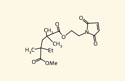 CCC(C)(CC(C)(C)C(=O)OCCN1C(=O)C=CC1=O)C(=O)OC